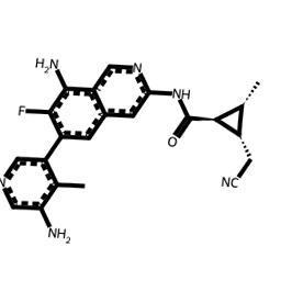 Cc1c(N)cncc1-c1cc2cc(NC(=O)[C@H]3[C@H](C)[C@@H]3CC#N)ncc2c(N)c1F